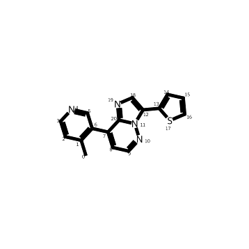 Cc1ccncc1-c1ccnn2c(-c3cccs3)cnc12